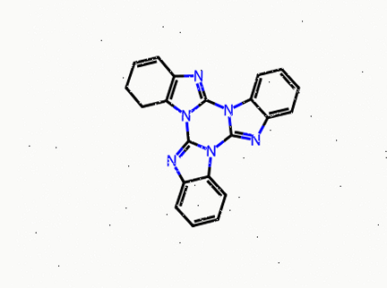 C1=Cc2nc3n(c2CC1)c1nc2ccccc2n1c1nc2ccccc2n31